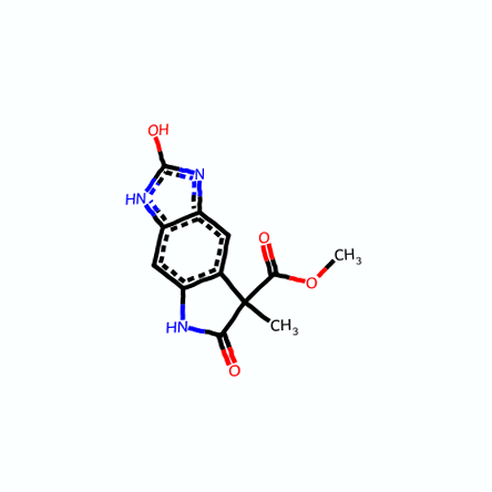 COC(=O)C1(C)C(=O)Nc2cc3[nH]c(O)nc3cc21